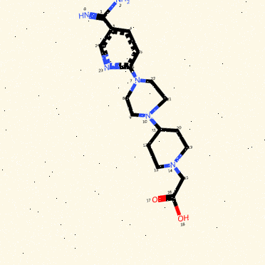 N=C(N)c1ccc(N2CCN(C3CCN(CC(=O)O)CC3)CC2)nc1